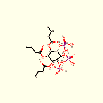 CCCC(=O)O[C@@H]1[C@@H](OC(=O)CCC)[C@H](OP(=O)(O)O)[C@@H](OP(=O)(O)O)[C@@H](OP(=O)(O)O)[C@H]1OC(=O)CCC